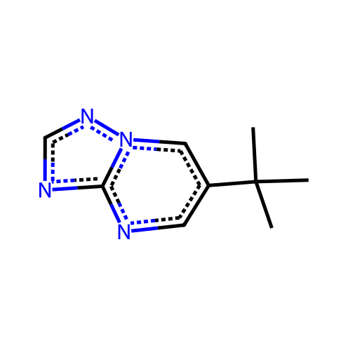 CC(C)(C)c1cnc2ncnn2c1